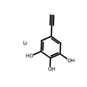 C#Cc1cc(O)c(O)c(O)c1.[Li]